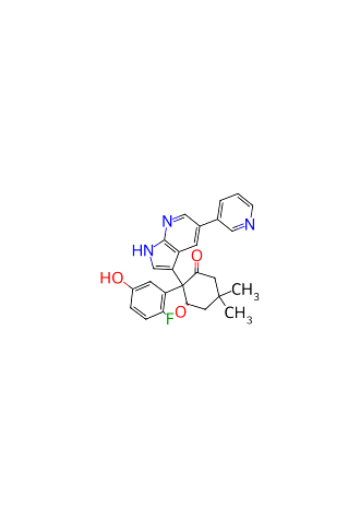 CC1(C)CC(=O)C(c2cc(O)ccc2F)(c2c[nH]c3ncc(-c4cccnc4)cc23)C(=O)C1